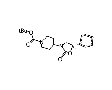 CC(C)(C)OC(=O)N1CCC(N2C[C@H](c3ccccc3)OC2=O)CC1